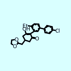 CCc1ccc(-c2ccc(Cl)cc2)cc1C1=C(O)CC(CC2OCCO2)CC1=O